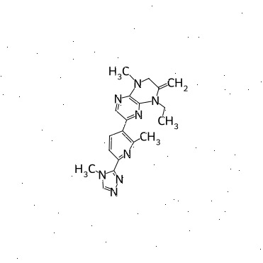 C=C1CN(C)c2ncc(-c3ccc(-c4nncn4C)nc3C)nc2N1CC